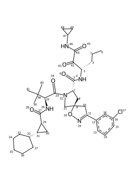 CCC[C@H](NC(=O)[C@@H]1C[C@]2(CC(c3cccc(Cl)c3)=NO2)CN1C(=O)[C@@H](NC(=O)C1C[C@@H]1C1CCCCC1)C(C)(C)C)C(=O)C(=O)NC1CC1